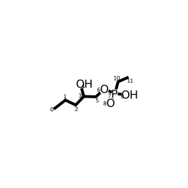 CCCC(O)COP(=O)(O)CC